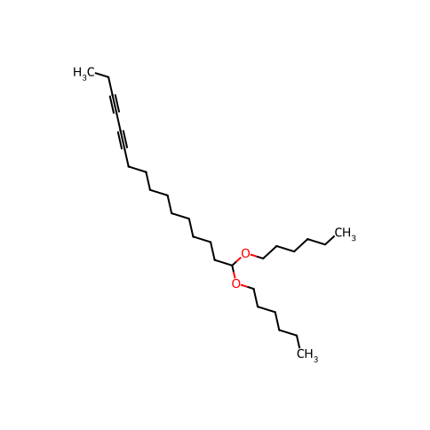 CCC#CC#CCCCCCCCCCC(OCCCCCC)OCCCCCC